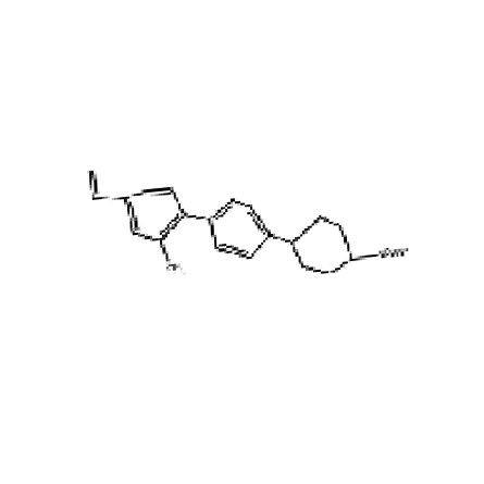 C=Cc1ccc(-c2ccc(C3CCC(CCCCC)CC3)cc2)c(C(F)(F)F)c1